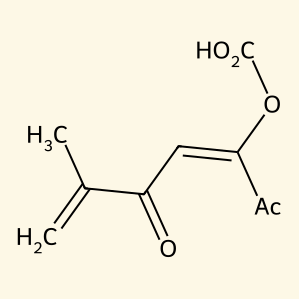 C=C(C)C(=O)C=C(OC(=O)O)C(C)=O